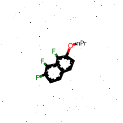 CCCOc1ccc2ccc(F)c(F)c2c1F